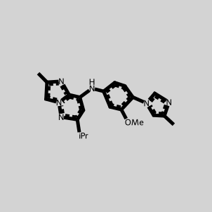 COc1cc(Nc2cc(C(C)C)nn3cc(C)nc23)ccc1-n1cnc(C)c1